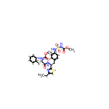 CCc1csc([C@H](Cc2ccc(NS(=O)(=O)NC(=O)OC)cc2)NC(=O)[C@H](Cc2ccccc2)NC(=O)OC)n1